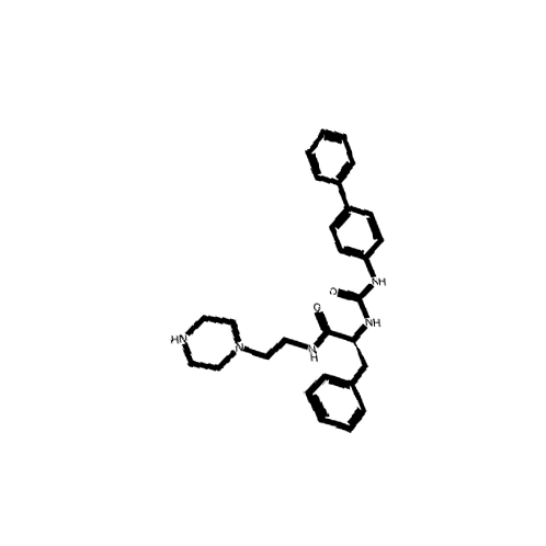 O=C(Nc1ccc(-c2ccccc2)cc1)N[C@@H](Cc1ccccc1)C(=O)NCCN1CCNCC1